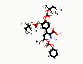 CCC(C)(C)OC(=O)Oc1ccc(C(CC(C)OC(=O)OC2CCCCC2)[C@H](N)C(=O)O)cc1OC(=O)OC(C)(C)CC